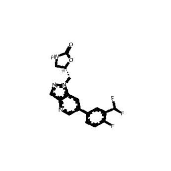 O=C1NC[C@@H](Cn2ncc3ncc(-c4ccc(F)c(C(F)F)c4)cc32)O1